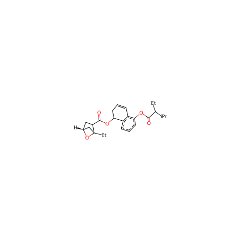 CCC(C(=O)Oc1cccc2c1C=CCC2OC(=O)C1C[C@@H]2CC1(CC)O2)C(C)C